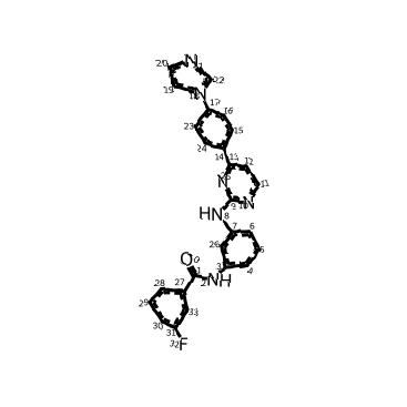 O=C(Nc1cccc(Nc2nccc(-c3ccc(-n4ccnc4)cc3)n2)c1)c1cccc(F)c1